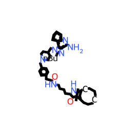 CCCCc1nc2c(N)nc3ccccc3c2n1CC1CCN(Cc2ccc(CC(=O)NCCCCC3NC4(C)C5CCCCCCCCC(C5)C4(C)C3=O)cc2)CC1